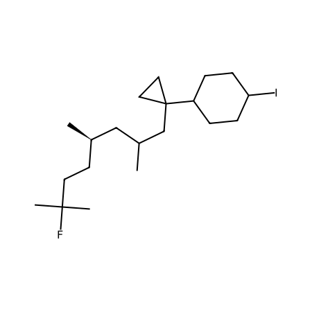 CC(C[C@H](C)CCC(C)(C)F)CC1(C2CCC(I)CC2)CC1